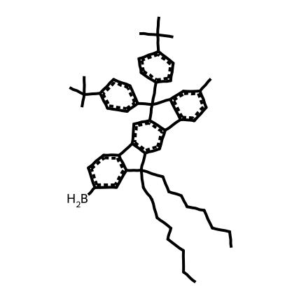 Bc1ccc2c(c1)C(CCCCCCCC)(CCCCCCCC)c1cc3c(cc1-2)C(c1ccc(C(C)(C)C)cc1)(c1ccc(C(C)(C)C)cc1)c1cc(C)ccc1-3